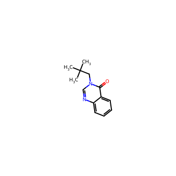 CC(C)(C)Cn1cnc2ccccc2c1=O